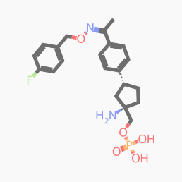 CC(=NOCc1ccc(F)cc1)c1ccc([C@@H]2CC[C@](N)(COP(=O)(O)O)C2)cc1